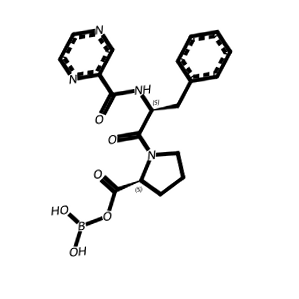 O=C(N[C@@H](Cc1ccccc1)C(=O)N1CCC[C@H]1C(=O)OB(O)O)c1cnccn1